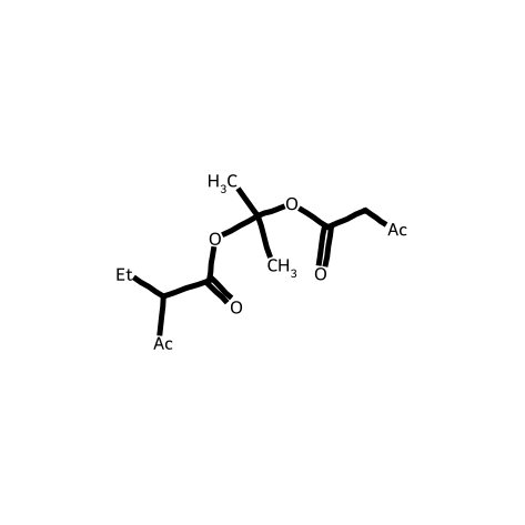 CCC(C(C)=O)C(=O)OC(C)(C)OC(=O)CC(C)=O